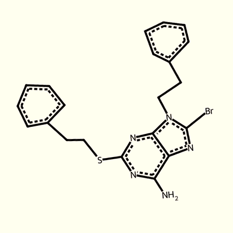 Nc1nc(SCCc2ccccc2)nc2c1nc(Br)n2CCc1ccccc1